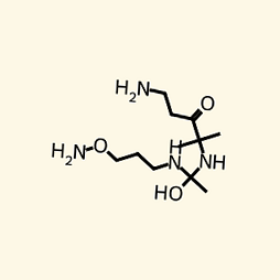 CC(O)(NCCCON)NC(C)(C)C(=O)CCN